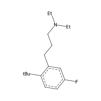 CCN(CC)CCCc1cc(F)ccc1C(C)(C)C